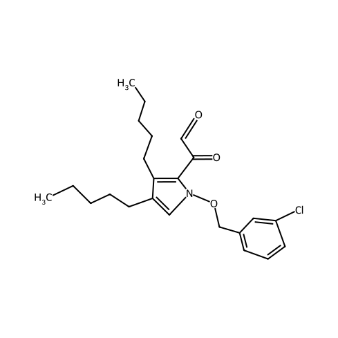 CCCCCc1cn(OCc2cccc(Cl)c2)c(C(=O)C=O)c1CCCCC